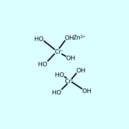 [OH][Cr-]([OH])([OH])[OH].[OH][Cr-]([OH])([OH])[OH].[Zn+2]